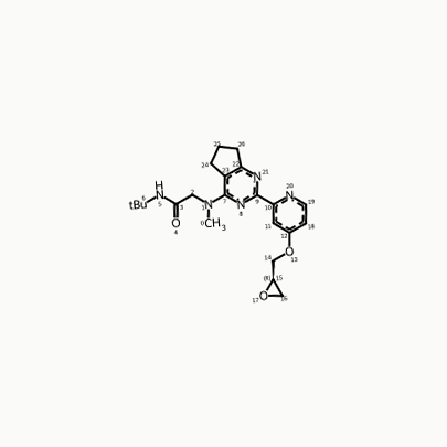 CN(CC(=O)NC(C)(C)C)c1nc(-c2cc(OC[C@H]3CO3)ccn2)nc2c1CCC2